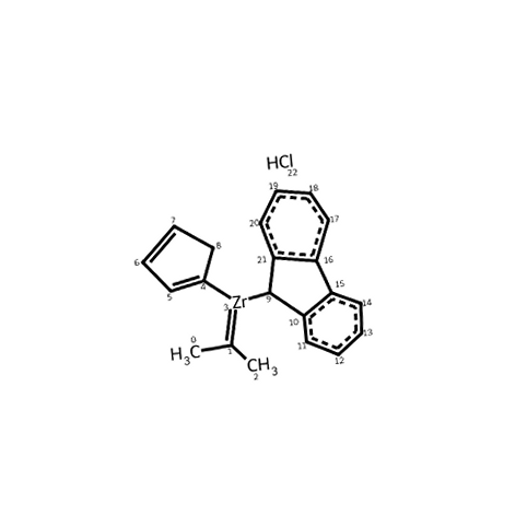 C[C](C)=[Zr]([C]1=CC=CC1)[CH]1c2ccccc2-c2ccccc21.Cl